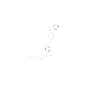 CCCCCCCCCC(=O)OCN1C(=O)Cc2cc(CCN3CCN(c4nsc5ccccc45)CC3)c(Cl)cc21